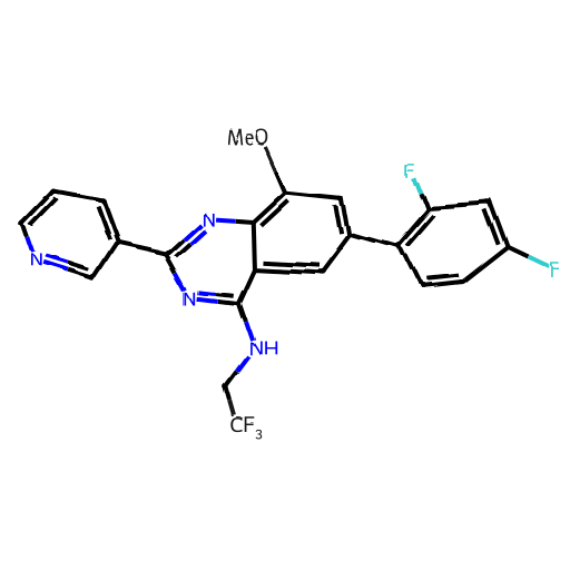 COc1cc(-c2ccc(F)cc2F)cc2c(NCC(F)(F)F)nc(-c3cccnc3)nc12